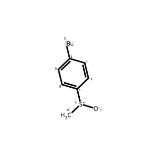 CCC(C)c1ccc([S+](C)[O-])cc1